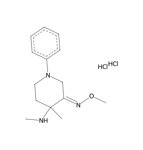 CNC1(C)CCN(c2ccccc2)CC1=NOC.Cl.Cl